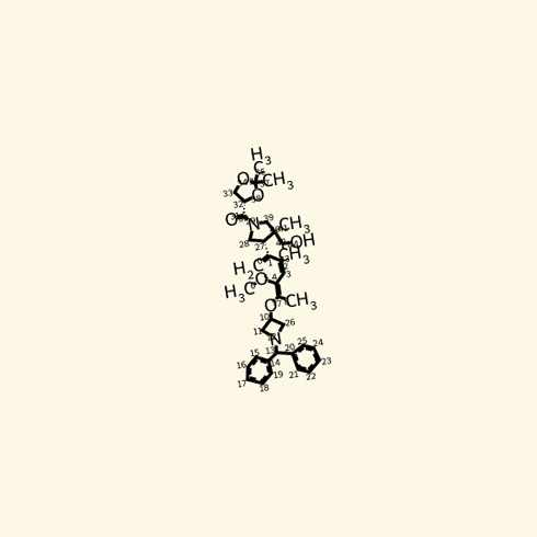 C=C(/C=C\C(OC)=C(/C)OC1CN(C(c2ccccc2)c2ccccc2)C1)[C@@H]1CN(C(=O)[C@@H]2COC(C)(C)O2)C[C@@]1(C)[C@@H](C)O